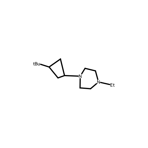 CCN1CCN(C2CC(C(C)(C)C)C2)CC1